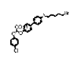 O=C(O)C(Oc1ccc(Cl)cc1)Oc1ccc(-c2ccc(NCCCCCBr)cc2)cc1